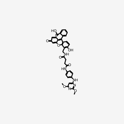 COc1cc(Nc2ccc(NC(=O)CCC(=O)NCc3c(O)ccc4c(-c5ccccc5C(=O)O)c5ccc(=O)cc-5oc34)cc2)nc(OC)n1